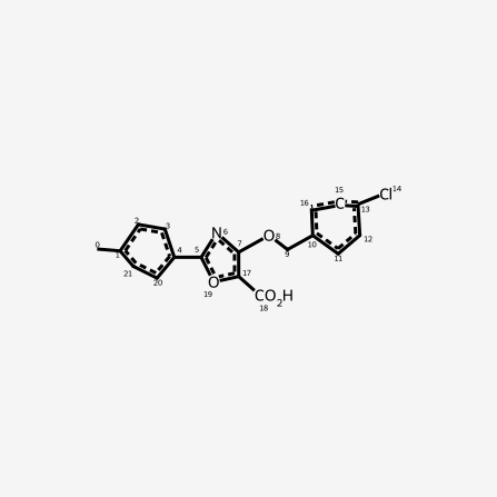 Cc1ccc(-c2nc(OCc3ccc(Cl)cc3)c(C(=O)O)o2)cc1